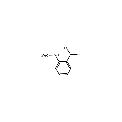 CCC(CC)c1ccccc1[SiH2]OC